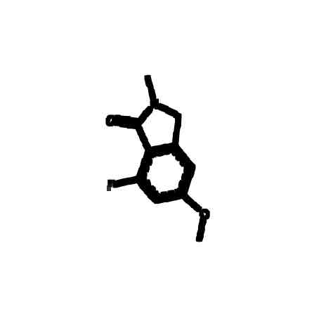 COc1cc(F)c2c(c1)CN(C)C2=O